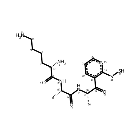 C[C@H](NC(=O)[C@@H](N)CCCCN)C(=O)N[C@@H](C)C(=O)c1cccnc1SS